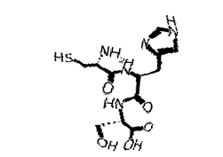 N[C@@H](CS)C(=O)N[C@@H](Cc1c[nH]cn1)C(=O)N[C@@H](CO)C(=O)O